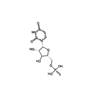 O=c1ccn([C@@H]2O[C@H](COP(O)(O)=S)C(O)[C@@H]2O)c(=O)[nH]1